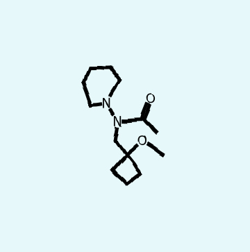 COC1(CN(C(C)=O)N2CCCCC2)CCC1